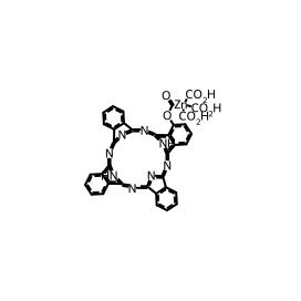 O=[C](O)[Zn]([C](=O)O)([C](=O)O)[C](=O)Oc1cccc2c3nc4nc(nc5[nH]c(nc6nc(nc([nH]3)c12)-c1ccccc1-6)c1ccccc51)-c1ccccc1-4